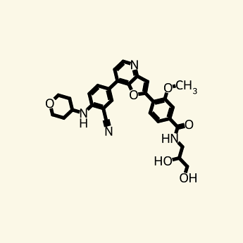 COc1cc(C(=O)NCC(O)CO)ccc1-c1cc2nccc(-c3ccc(NC4CCOCC4)c(C#N)c3)c2o1